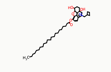 CCCCCCCCCCCCCCCCCCCCCC(=O)OC1=C2OC3C(O)CCC4(O)C5CC(C=C1)C2C34CCN5CC1CCC1